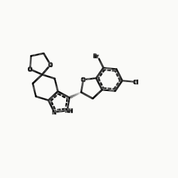 Clc1cc(Br)c2c(c1)C[C@H](c1[nH]nc3c1CC1(CC3)OCCO1)O2